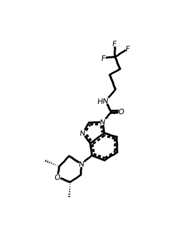 C[C@@H]1CN(c2cccc3c2ncn3C(=O)NCCCC(F)(F)F)C[C@H](C)O1